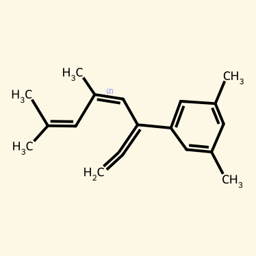 C=C=C(/C=C(/C)C=C(C)C)c1cc(C)cc(C)c1